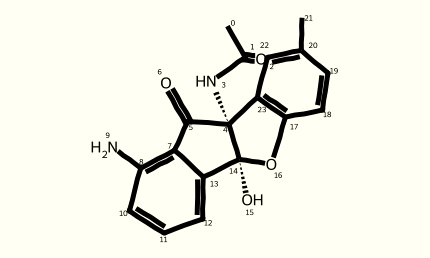 CC(=O)N[C@@]12C(=O)c3c(N)cccc3[C@]1(O)Oc1ccc(C)cc12